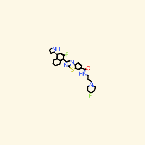 O=C(NCCCN1CCC(F)CC1)c1ccc2c(c1)sc1nc(-c3c(F)cc([C@H]4CCCN4)c4c3CCCC4)cn12